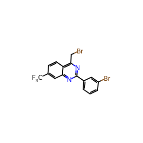 FC(F)(F)c1ccc2c(CBr)nc(-c3cccc(Br)c3)nc2c1